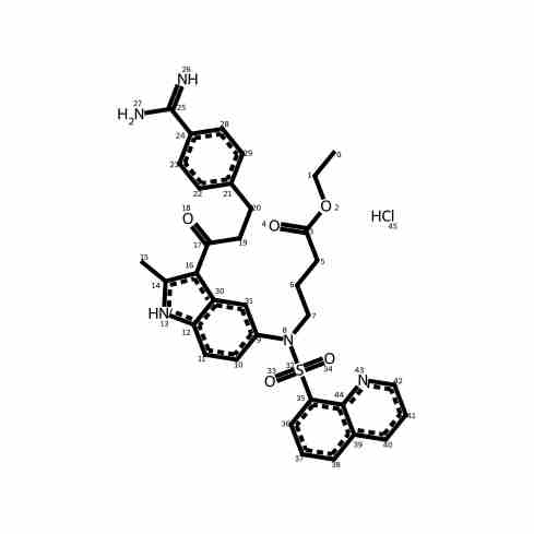 CCOC(=O)CCCN(c1ccc2[nH]c(C)c(C(=O)CCc3ccc(C(=N)N)cc3)c2c1)S(=O)(=O)c1cccc2cccnc12.Cl